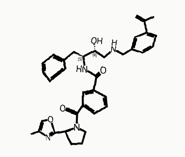 C=C(C)c1cccc(CNC[C@@H](O)[C@H](Cc2ccccc2)NC(=O)c2cccc(C(=O)N3CCCC3c3nc(C)co3)c2)c1